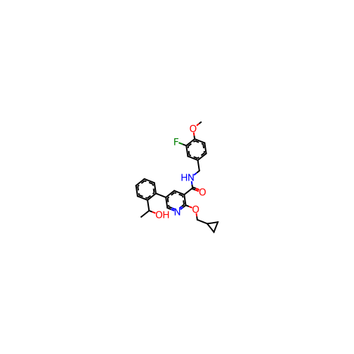 COc1ccc(CNC(=O)c2cc(-c3ccccc3C(C)O)cnc2OCC2CC2)cc1F